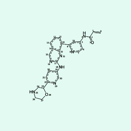 C=CC(=O)Nc1ccnc(-c2cccc3cnc(Nc4ccc(C5CNCCO5)nc4)nc23)c1